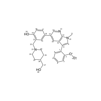 CCOc1ccccc1-c1cn(C)c2ncc(-c3ccc(O)c(CN4CCC(CO)CC4)c3)cc12